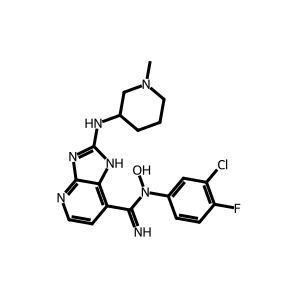 CN1CCCC(Nc2nc3nccc(C(=N)N(O)c4ccc(F)c(Cl)c4)c3[nH]2)C1